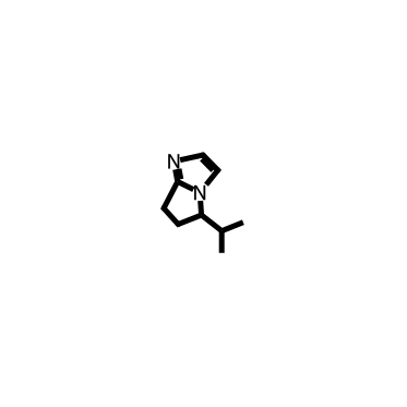 CC(C)C1CCc2nccn21